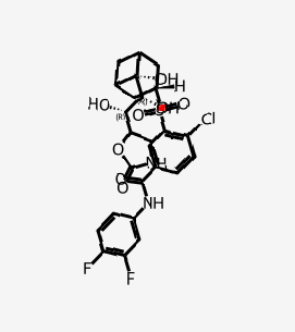 O=C1NCC([C@H](O)[C@@H](O)[C@]2(O)C3CC2C[C@@H](S(=O)(=O)c2cc(C(=O)Nc4ccc(F)c(F)c4)ccc2Cl)C3)O1